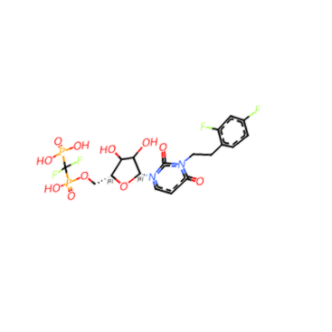 O=c1ccn([C@@H]2O[C@H](COP(=O)(O)C(F)(F)P(=O)(O)O)C(O)C2O)c(=O)n1CCc1ccc(F)cc1F